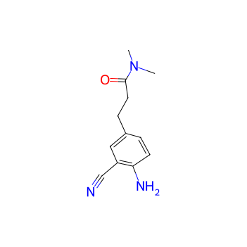 CN(C)C(=O)CCc1ccc(N)c(C#N)c1